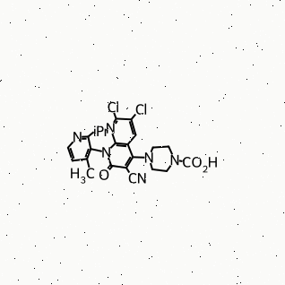 Cc1ccnc(C(C)C)c1-n1c(=O)c(C#N)c(N2CCN(C(=O)O)CC2)c2cc(Cl)c(Cl)nc21